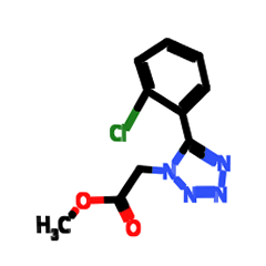 COC(=O)Cn1nnnc1-c1ccccc1Cl